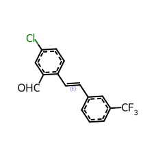 O=Cc1cc(Cl)ccc1/C=C/c1cccc(C(F)(F)F)c1